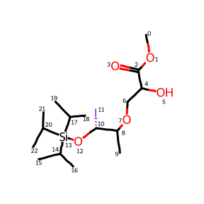 COC(=O)C(O)COC(C)[C@@H](I)O[Si](C(C)C)(C(C)C)C(C)C